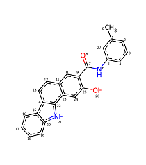 Cc1cccc(NC(=O)c2cc3ccc4c5ccccc5[nH]c4c3cc2O)c1